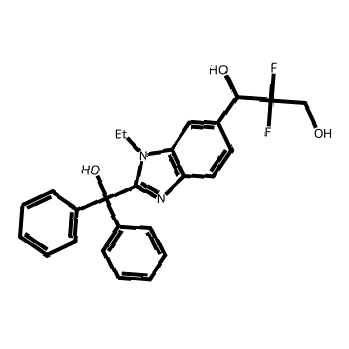 CCn1c(C(O)(c2ccccc2)c2ccccc2)nc2ccc(C(O)C(F)(F)CO)cc21